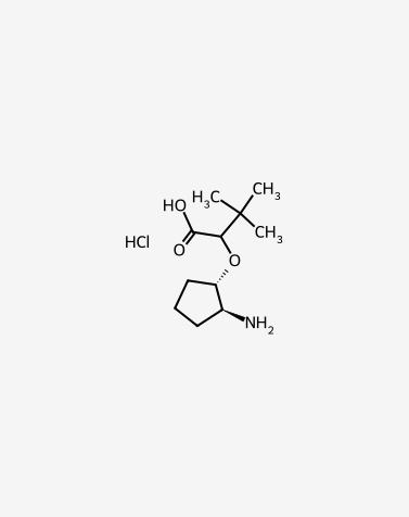 CC(C)(C)C(O[C@H]1CCC[C@@H]1N)C(=O)O.Cl